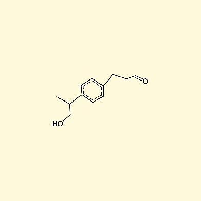 CC(CO)c1ccc(CCC=O)cc1